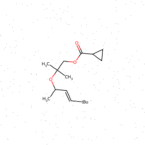 CC(C=CC(C)(C)C)OC(C)(C)COC(=O)C1CC1